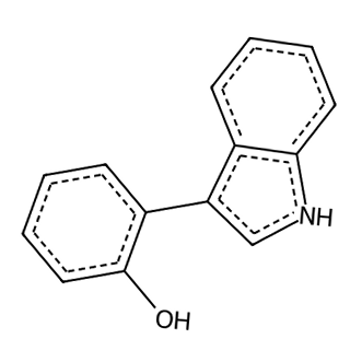 Oc1ccccc1-c1c[nH]c2ccccc12